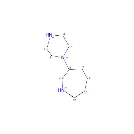 C1CCC(N2CCNCC2)CNC1